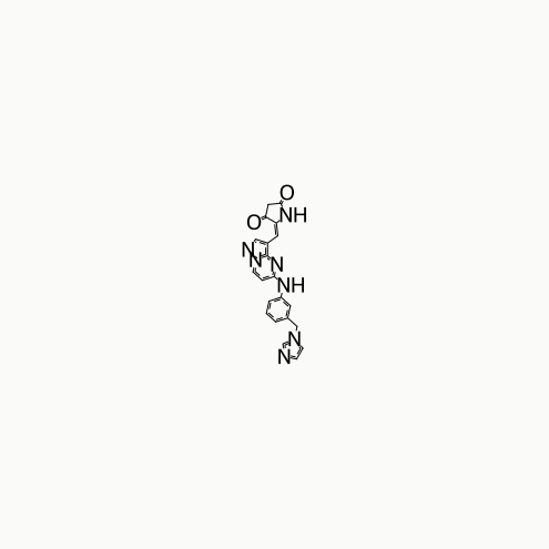 O=C1CC(=O)/C(=C\c2cnn3ccc(Nc4cccc(Cn5ccnc5)c4)nc23)N1